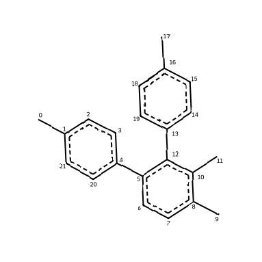 Cc1ccc(-c2ccc(C)c(C)c2-c2ccc(C)cc2)cc1